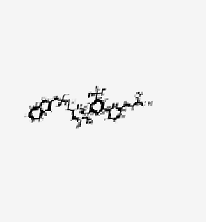 CN(C[C@H](O)CNC(C)(C)CC1Cc2ccccc2C1)S(=O)(=O)c1cc(-c2cccc(CCC(=O)O)n2)cc(C(F)(F)F)c1